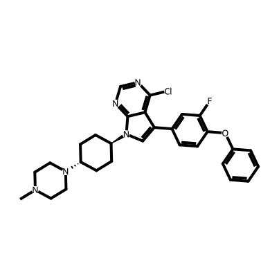 CN1CCN([C@H]2CC[C@H](n3cc(-c4ccc(Oc5ccccc5)c(F)c4)c4c(Cl)ncnc43)CC2)CC1